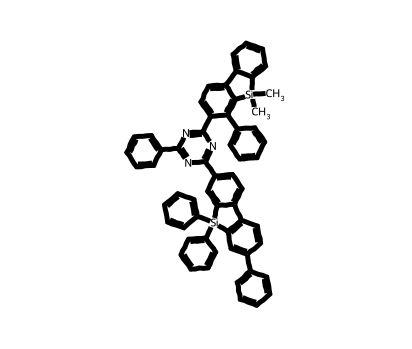 C[Si]1(C)c2ccccc2-c2ccc(-c3nc(-c4ccccc4)nc(-c4ccc5c(c4)[Si](c4ccccc4)(c4ccccc4)c4cc(-c6ccccc6)ccc4-5)n3)c(-c3ccccc3)c21